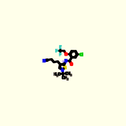 CC(C)(C)n1cc(CCCC#N)/c(=N/C(=O)c2cc(Cl)ccc2OCC(F)(F)F)s1